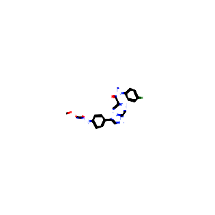 COCC(=O)Nc1ccc(-c2cnc3cnc(C(=O)N(C)c4ccc(Cl)cc4)cn23)cc1